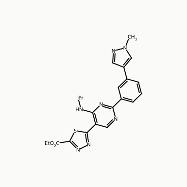 CCOC(=O)c1nnc(-c2cnc(-c3cccc(-c4cnn(C)c4)c3)nc2NC(C)C)s1